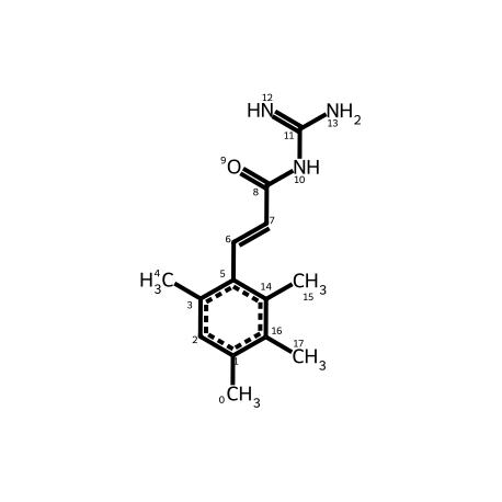 Cc1cc(C)c(C=CC(=O)NC(=N)N)c(C)c1C